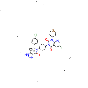 Cc1[nH]cnc1C(=O)N(Cc1ccc(Cl)cc1)C1CCC(n2c(=O)c3cc(F)cnc3n(C3CCSCC3)c2=O)CC1